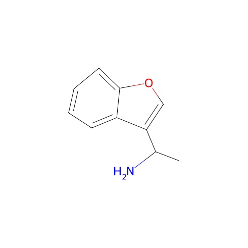 CC(N)c1coc2ccccc12